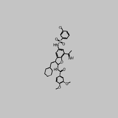 COc1ccc(C(=O)NC2Oc3c(C(C)=N)cc(NS(=O)(=O)c4cccc(Cl)c4)cc3C2CC2CCCCC2)cc1OC